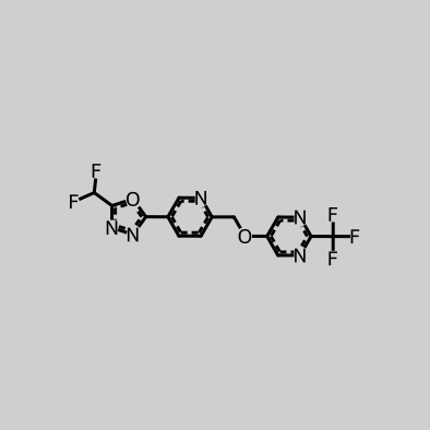 FC(F)c1nnc(-c2ccc(COc3cnc(C(F)(F)F)nc3)nc2)o1